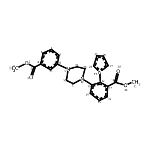 COC(=O)c1cccc(N2CCN(c3cccc(C(=O)OC)c3-n3cccc3)CC2)c1